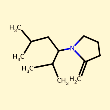 C=C1CCCN1C(CC(C)C)C(C)C